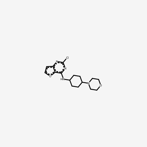 Clc1nc(NC2CCC(N3CCOCC3)CC2)c2occc2n1